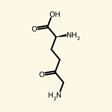 NCC(=O)CC[C@H](N)C(=O)O